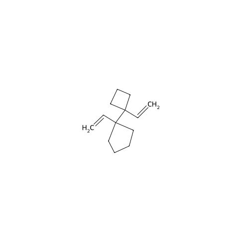 C=CC1(C2(C=C)CCC2)CCCC1